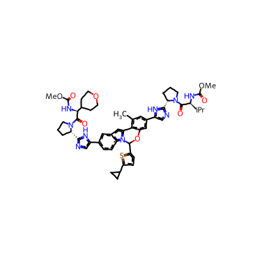 COC(=O)N[C@H](C(=O)N1CCC[C@H]1c1ncc(-c2cc(C)c3c(c2)OC(c2ccc(C4CC4)s2)n2c-3cc3cc(-c4cnc([C@@H]5CCCN5C(=O)[C@@H](NC(=O)OC)C5CCOCC5)[nH]4)ccc32)[nH]1)C(C)C